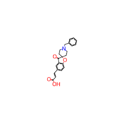 O=C(O)/C=C/c1ccc2c(c1)C(=O)C1(CCN(Cc3ccccc3)CC1)O2